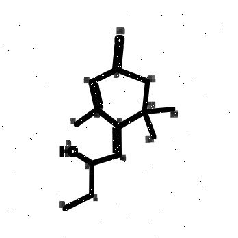 CCC(O)C=C1C(C)=CC(=O)CC1(C)C